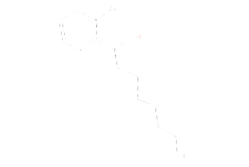 CCCCCCCC(O)c1ccccc1Br